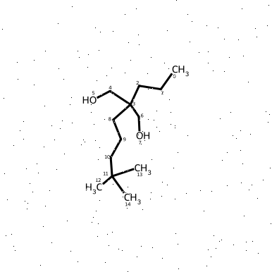 CCCC(CO)(CO)CCCC(C)(C)C